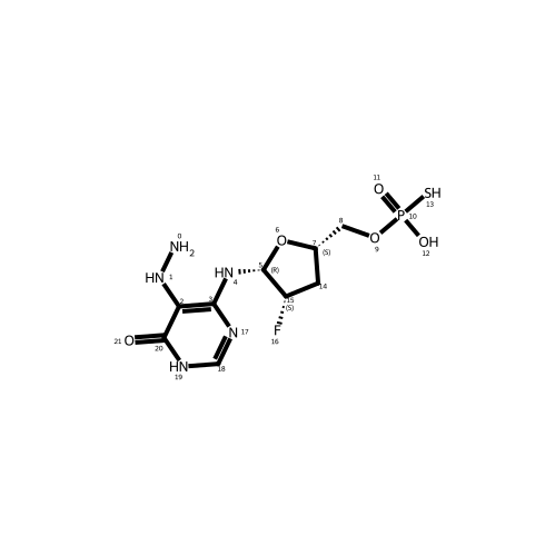 NNc1c(N[C@@H]2O[C@H](COP(=O)(O)S)C[C@@H]2F)nc[nH]c1=O